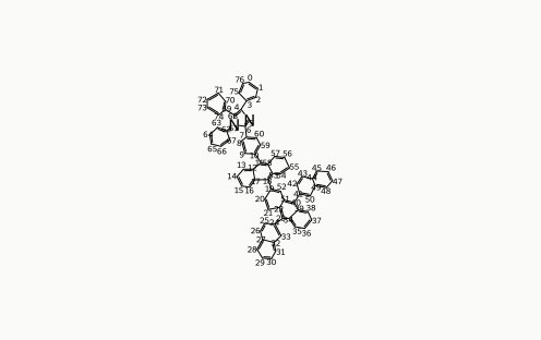 c1ccc(-c2nc(-c3ccc(-c4c5ccccc5c(-c5ccc6c(-c7ccc8ccccc8c7)c7ccccc7c(-c7ccc8ccccc8c7)c6c5)c5ccccc45)cc3)n(-c3ccccc3)c2-c2ccccc2)cc1